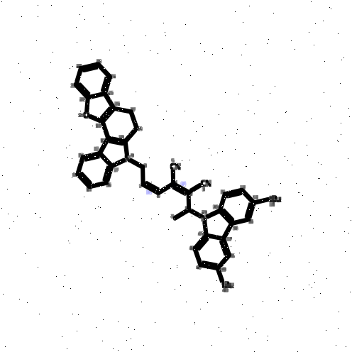 CC(/C(C#N)=C(C#N)\C=C/Cn1c2c(c3ccccc31)-c1oc3ccccc3c1CC2)n1c2ccc(C(C)(C)C)cc2c2cc(C(C)(C)C)ccc21